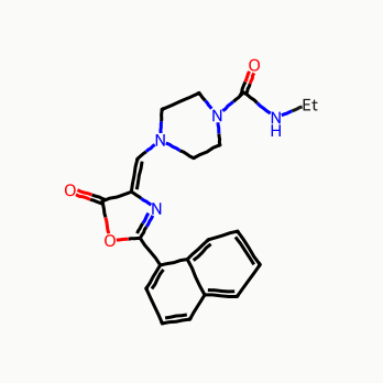 CCNC(=O)N1CCN(C=C2N=C(c3cccc4ccccc34)OC2=O)CC1